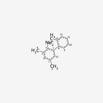 Cc1cc(C)c(N)c(-c2ccccc2C)c1